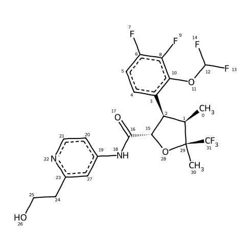 C[C@@H]1[C@H](c2ccc(F)c(F)c2OC(F)F)[C@@H](C(=O)Nc2ccnc(CCO)c2)O[C@]1(C)C(F)(F)F